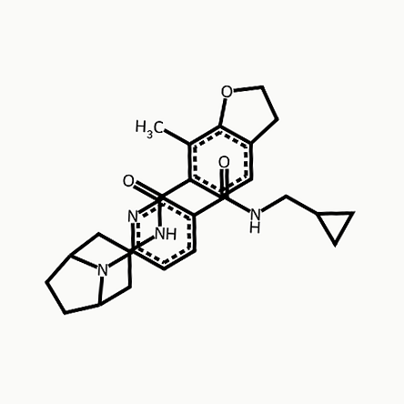 Cc1c(C(=O)NC2CC3CCC(C2)N3c2ccc(C(=O)NCC3CC3)cn2)ccc2c1OCC2